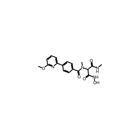 CNC(=O)C(C(=O)NO)N(C)C(=O)c1ccc(-c2cccc(OC)n2)cc1